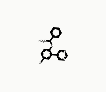 O=C(O)C(Oc1ccc(Cl)cc1-c1cncnc1)c1ccccc1